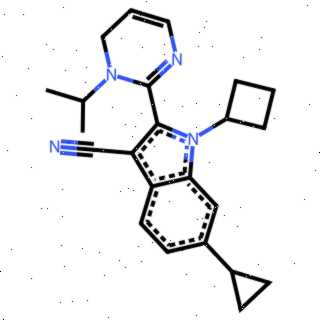 CC(C)N1CC=CN=C1c1c(C#N)c2ccc(C3CC3)cc2n1C1CCC1